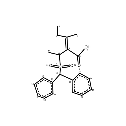 CCC(C)=C(C(=O)O)C(C)S(=O)(=O)C(c1ccccc1)c1ccccc1